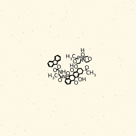 CC(=O)[C@@H]1Cc2c(O)c3c(c(O)c2[C@@H](O[C@H]2C[C@H](N4CCOC[C@H]4O)P[C@H](C)O2)C1)C(=O)c1c(NC(=O)[C@H](C)NC(=O)OC2c4ccccc4-c4ccccc42)cccc1C3=O